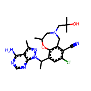 Cc1nn(C(C)c2cc(Cl)c(C#N)c3c2OC(C)CN(CC(C)(C)O)C3)c2ncnc(N)c12